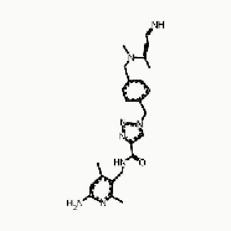 C/C(=C/C=N)N(C)Cc1ccc(Cn2cc(C(=O)NCc3c(C)cc(N)nc3C)nn2)cc1